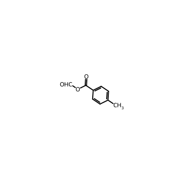 Cc1ccc(C(=O)OC=O)cc1